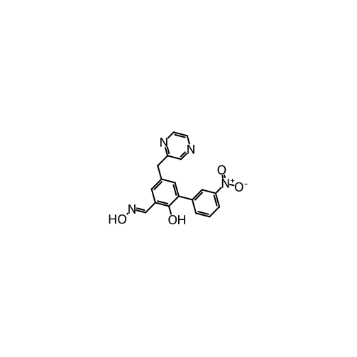 O=[N+]([O-])c1cccc(-c2cc(Cc3cnccn3)cc(C=NO)c2O)c1